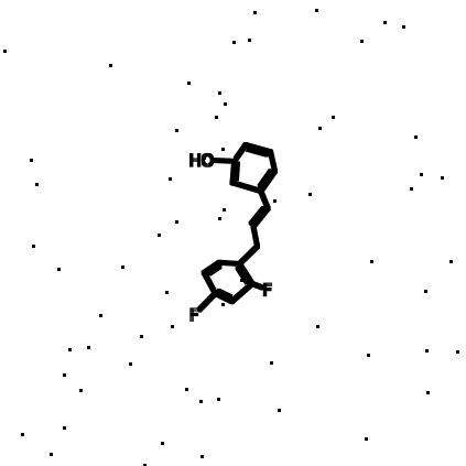 Oc1cccc(/C=C/Cc2ccc(F)cc2F)c1